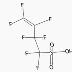 O=S(=O)(O)C(F)(F)C(F)(F)C(F)=C(F)F